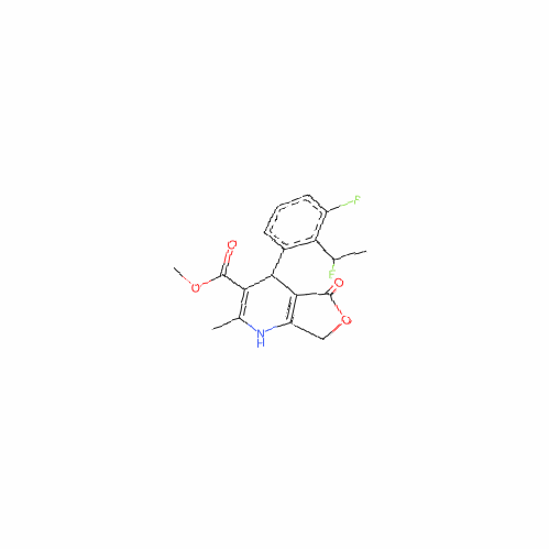 COC(=O)C1=C(C)NC2=C(C(=O)OC2)C1c1cccc(F)c1C(C)F